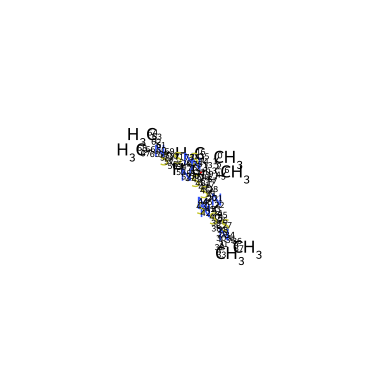 CCCCC(CC)CC1(CC(CC)CCCC)c2cc(-c3ncc(-c4cc5sc(N(CCCC)CCCC)cc5s4)c4nsnc34)sc2-c2sc(-c3ncc(-c4cc5sc(N(CCCC)CCCC)cc5s4)c4nsnc34)cc21